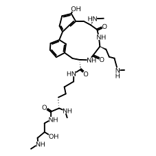 CNCCC[C@@H]1NC(=O)[C@@H](NC)Cc2cc(ccc2O)-c2cccc(c2)C[C@@H](C(=O)NCCCC[C@H](NC)C(=O)NCC(O)CNC)NC1=O